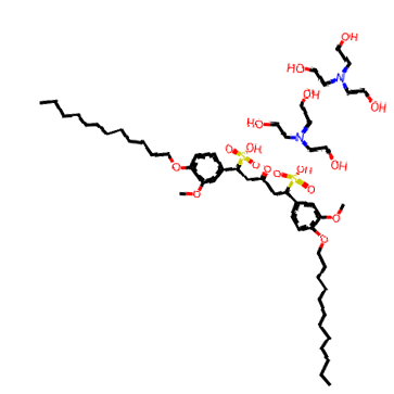 CCCCCCCCCCCCOc1ccc(C(CC(=O)CC(c2ccc(OCCCCCCCCCCCC)c(OC)c2)S(=O)(=O)O)S(=O)(=O)O)cc1OC.OCCN(CCO)CCO.OCCN(CCO)CCO